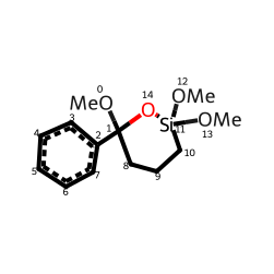 COC1(c2ccccc2)CCC[Si](OC)(OC)O1